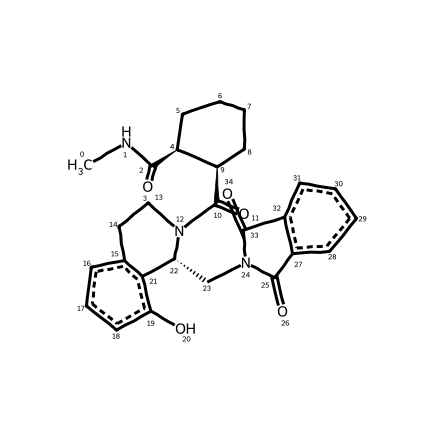 CNC(=O)[C@H]1CCCC[C@H]1C(=O)N1CCc2cccc(O)c2[C@H]1CN1C(=O)c2ccccc2C1=O